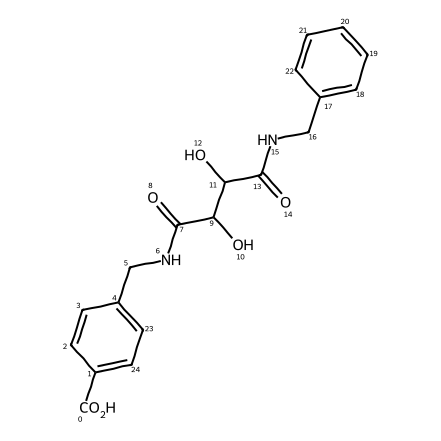 O=C(O)c1ccc(CNC(=O)C(O)C(O)C(=O)NCc2ccccc2)cc1